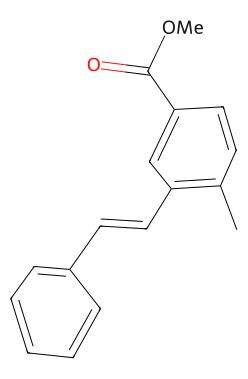 COC(=O)c1ccc(C)c(/C=C/c2ccccc2)c1